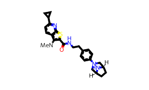 CNc1c(C(=O)NCCc2ccc(N3C[C@H]4CC[C@@H](C3)N4)cc2)sc2nc(C3CC3)ccc12